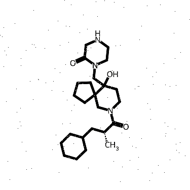 C[C@H](CC1CCCCC1)C(=O)N1CCC(O)(CN2CCNCC2=O)C2(CCCC2)C1